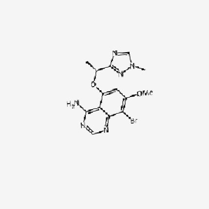 COc1cc(O[C@@H](C)c2ncn(C)n2)c2c(N)ncnc2c1Br